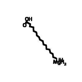 CCCCCCCCCCCCCCCCCC(=O)O.[LiH].[MgH2]